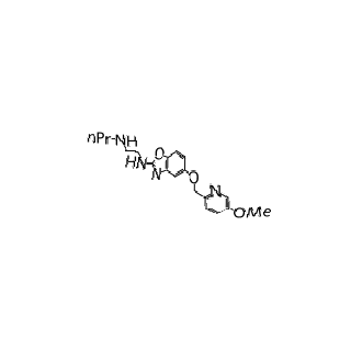 CCCNCCNc1nc2cc(OCc3ccc(OC)cn3)ccc2o1